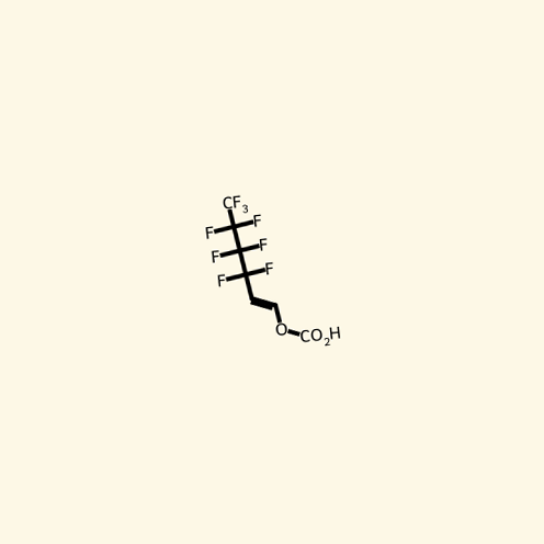 O=C(O)OC=CC(F)(F)C(F)(F)C(F)(F)C(F)(F)F